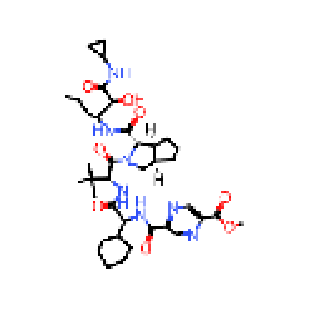 CCC[C@H](NC(=O)[C@@H]1[C@H]2CCC[C@H]2CN1C(=O)[C@@H](NC(=O)C(NC(=O)c1cnc(C(=O)OC)cn1)C1CCCCC1)C(C)(C)C)C(O)C(=O)NC1CC1